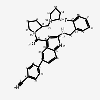 N#Cc1ccc(-c2ccc3nc(NCc4ccccc4F)cc(C(=O)N4CCC[C@H]4CN4CCCC4)c3c2)cc1